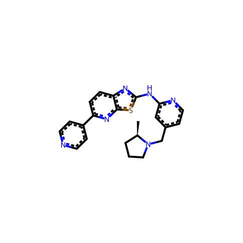 C[C@@H]1CCCN1Cc1ccnc(Nc2nc3ccc(-c4ccncc4)nc3s2)c1